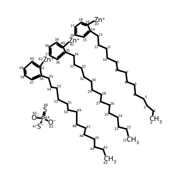 CCCCCCCCCCCCCCc1cccc[c]1[Zn+].CCCCCCCCCCCCCCc1cccc[c]1[Zn+].CCCCCCCCCCCCCCc1cccc[c]1[Zn+].[O-]P([O-])(=S)[S-]